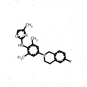 Cc1coc(Nc2c(C)cc(N3CCc4cc(F)ccc4C3)cc2C)n1